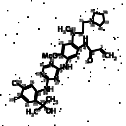 C=CC(=O)Nc1cc(Nc2ncnc(Nc3cc(Cl)c(F)cc3C(C)(C)O)n2)c(OC)cc1N(C)CCN1CCCC1